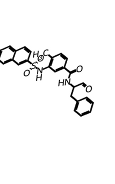 Cc1ccc(C(=O)NC(C=O)Cc2ccccc2)cc1NS(=O)(=O)c1ccc2ccccc2c1